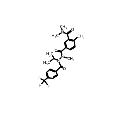 Cc1ccc(C(=O)N(C)N(C(=O)c2ccc(C(F)(F)F)cc2)C(C)C)cc1C(=O)N(C)C